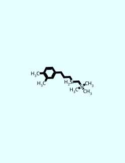 Cc1ccc(CCC[SiH2]C[Si](C)(C)C)cc1C